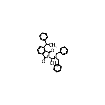 CC(c1ccccc1)c1cccc2c1C(=O)N(C(C)N(Cc1ccccc1)Cc1ccccc1)C2=O